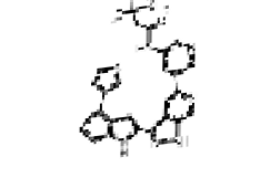 CC(C)(C)CC(=O)Nc1cncc(-c2cc3c(-c4cc5c(-c6ccsc6)cccc5[nH]4)n[nH]c3cn2)c1